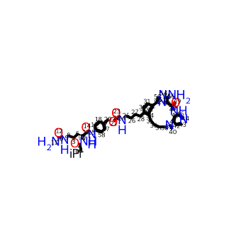 CC(C)CC(=O)N[C@@H](CCCNC(N)=O)C(=O)Nc1ccc(COC(=O)NCCCCc2ccc3cc2CCCCN(C)c2ccncc2NC(=O)c2nc-3cnc2N)cc1